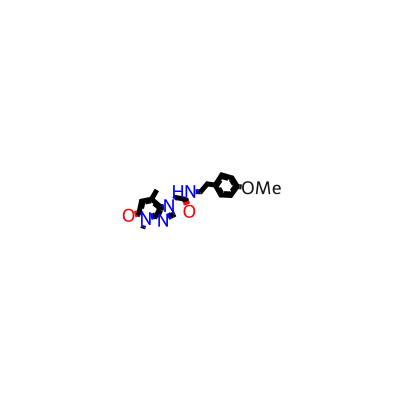 COc1ccc(CCNC(=O)Cn2cnc3c2c(C)cc(=O)n3C)cc1